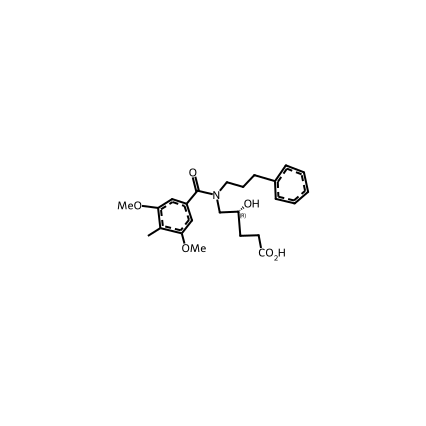 COc1cc(C(=O)N(CCCc2ccccc2)C[C@H](O)CCC(=O)O)cc(OC)c1C